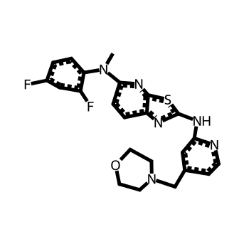 CN(c1ccc2nc(Nc3cc(CN4CCOCC4)ccn3)sc2n1)c1ccc(F)cc1F